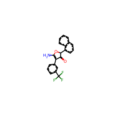 NC1=C(c2cccc(C(F)(F)F)c2)C(=O)C(c2cccc3ccccc23)O1